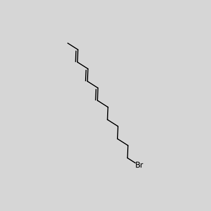 CC=CC=CC=CCCCCCCBr